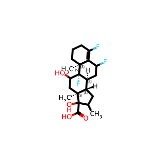 CC1C[C@H]2[C@@H]3CC(F)C4=C(F)CCC[C@]4(C)[C@]3(F)C(O)C[C@]2(C)C1(O)C(=O)O